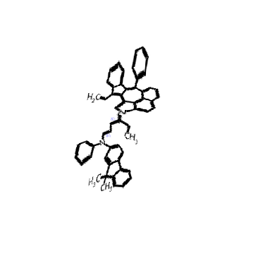 C=Cc1c2c3cn(/C(=C/C=C/N(c4ccccc4)c4ccc5c(c4)C(C)(C)c4ccccc4-5)CC)c4ccc5cccc(c(-c6ccccc6)c-2c2ccccc12)c5c34